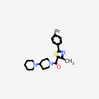 Cc1nc(-c2ccc(C(C)C)cc2)sc1C(=O)N1CCC(N2CCCCC2)CC1